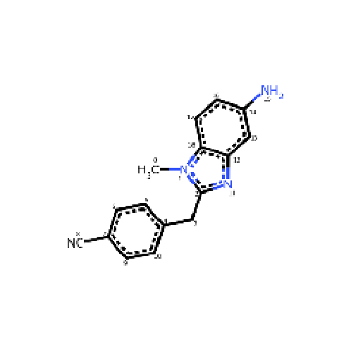 Cn1c(Cc2ccc(C#N)cc2)nc2cc(N)ccc21